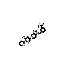 O=c1c(Cl)c(N2CCc3c(ncn3Cc3cccc(C(F)(F)F)c3)C2)cnn1C1CCCCO1